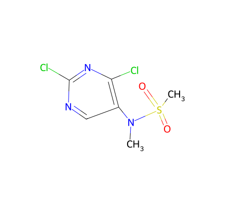 CN(c1cnc(Cl)nc1Cl)S(C)(=O)=O